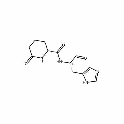 O=C[C@H](Cc1cnc[nH]1)NC(=O)C1CCCC(=O)N1